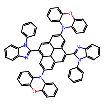 C1=C(c2nc3ccccc3n2-c2ccccc2)C2=CC(N3c4ccccc4Oc4ccccc43)=CC3=CC(c4nc5ccccc5n4-c4ccccc4)=C4C=C(N5c6ccccc6Oc6ccccc65)C=C1C4C32